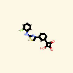 O=c1c(O)c(-c2cccc(-c3csc(Nc4ccccc4F)n3)c2)c1=O